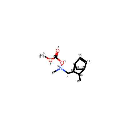 CC(C)OC(=O)ON(C)CC1C2C=CC(C2)C1C